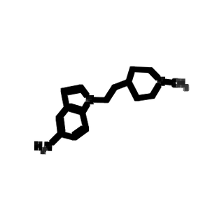 CN1CCC(CCn2ccc3cc(N)ccc32)CC1